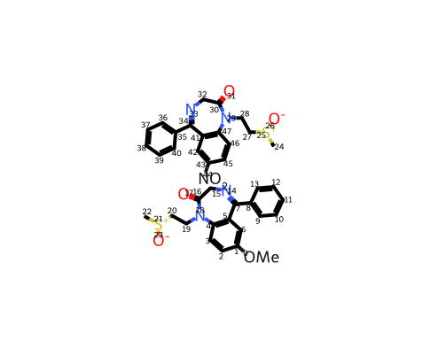 COc1ccc2c(c1)C(c1ccccc1)=NCC(=O)N2CC[S+](C)[O-].C[S+]([O-])CCN1C(=O)CN=C(c2ccccc2)c2cc([N+](=O)[O-])ccc21